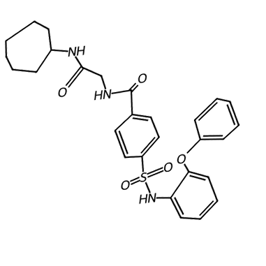 O=C(CNC(=O)c1ccc(S(=O)(=O)Nc2ccccc2Oc2ccccc2)cc1)NC1CCCCCC1